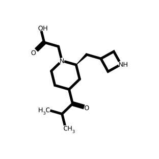 CC(C)C(=O)C1CCN(CC(=O)O)[C@@H](CC2CNC2)C1